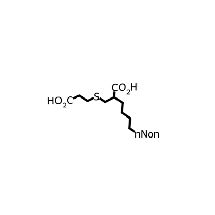 CCCCCCCCCCCCCC(CSCCC(=O)O)C(=O)O